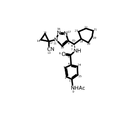 CC(=O)Nc1ccc(C(=O)N[C@H](c2cn(C3(C#N)CC3)nn2)C2CCCCC2)cc1